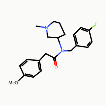 COc1ccc(CC(=O)N(Cc2ccc(F)cc2)C2CCCN(C)C2)cc1